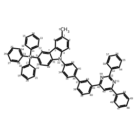 Cc1ccc2c(c1)c1cc([Si](c3ccccc3)(c3ccccc3)c3ccccc3)ccc1n2-c1ccc(-c2cccc(-c3cc(-c4ccccc4)nc(-c4ccccc4)n3)c2)cc1